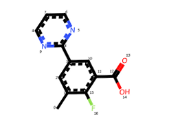 Cc1cc(-c2ncccn2)cc(C(=O)O)c1F